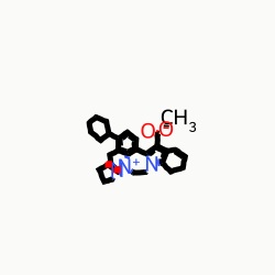 COC(=O)c1c2c(n3c1-c1ccc(C4CCCCC4)c4c1[N+](N1CCCC1)(C=CC4)CC3)CCC=C2